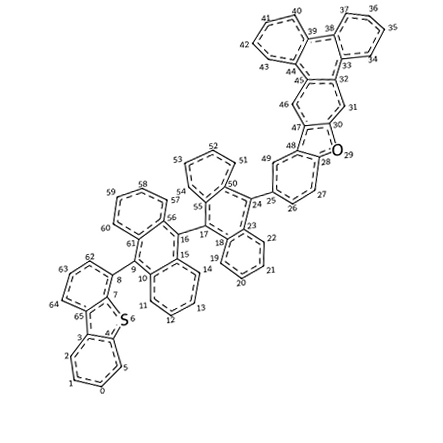 c1ccc2c(c1)sc1c(-c3c4ccccc4c(-c4c5ccccc5c(-c5ccc6oc7cc8c9ccccc9c9ccccc9c8cc7c6c5)c5ccccc45)c4ccccc34)cccc12